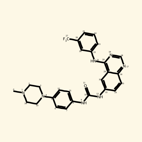 CN1CCN(c2ccc(NC(=O)Nc3ccc4ncnc(Nc5cccc(C(F)(F)F)c5)c4c3)cc2)CC1